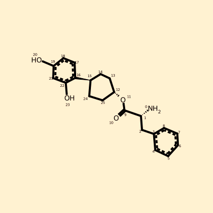 N[C@H](Cc1ccccc1)C(=O)O[C@H]1CC[C@H](c2ccc(O)cc2O)CC1